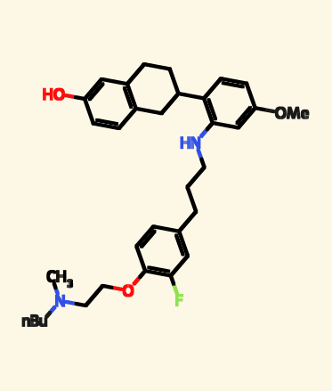 CCCCN(C)CCOc1ccc(CCCNc2cc(OC)ccc2C2CCc3cc(O)ccc3C2)cc1F